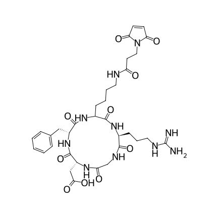 N=C(N)NCCC[C@@H]1NC(=O)C(CCCCNC(=O)CCN2C(=O)C=CC2=O)NC(=O)[C@@H](Cc2ccccc2)NC(=O)[C@@H](CC(=O)O)NC(=O)CNC1=O